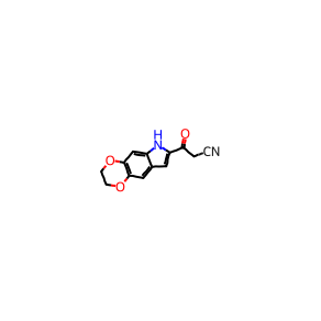 N#CCC(=O)c1cc2cc3c(cc2[nH]1)OCCO3